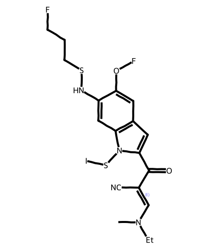 CCN(C)/C=C(\C#N)C(=O)c1cc2cc(OF)c(NSCCCF)cc2n1SI